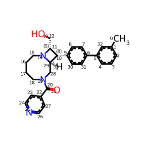 Cc1cccc(-c2ccc([C@H]3[C@@H](CO)N4CCCCN(C(=O)c5ccncc5)C[C@H]34)cc2)c1